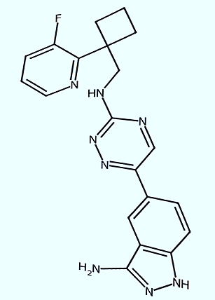 Nc1n[nH]c2ccc(-c3cnc(NCC4(c5ncccc5F)CCC4)nn3)cc12